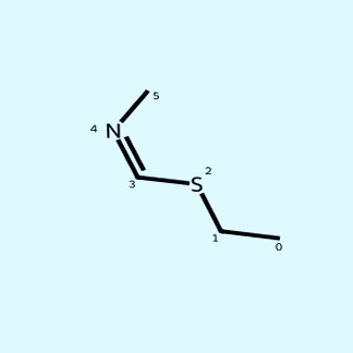 CCS/C=N\C